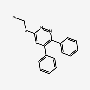 CC(C)CSc1nnc(-c2ccccc2)c(-c2ccccc2)n1